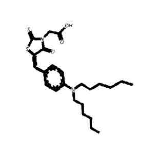 CCCCCCN(CCCCCC)c1ccc(C=C2SC(=S)N(CC(=O)O)C2=O)cc1